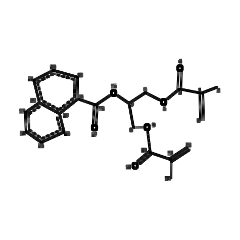 C=C(C)C(=O)OCC(COC(=O)C(=C)C)OC(=O)c1cccc2ccccc12